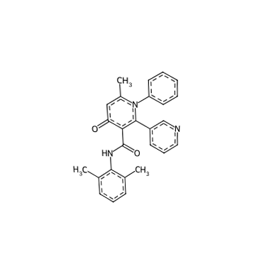 Cc1cccc(C)c1NC(=O)c1c(-c2cccnc2)n(-c2ccccc2)c(C)cc1=O